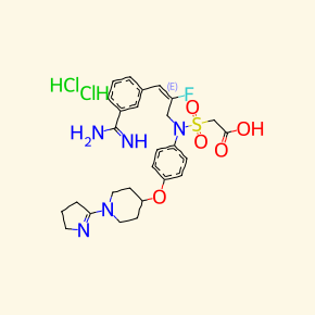 Cl.Cl.N=C(N)c1cccc(/C=C(/F)CN(c2ccc(OC3CCN(C4=NCCC4)CC3)cc2)S(=O)(=O)CC(=O)O)c1